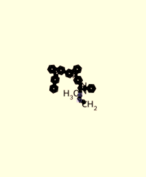 C=C/C=C\C=C(/C)c1cc(-c2ccc(-n3c4ccccc4c4cc(-c5ccc6c7ccccc7n(-c7ccc(-c8ccccc8)cc7)c6c5)ccc43)cc2)nc(-c2ccccc2)n1